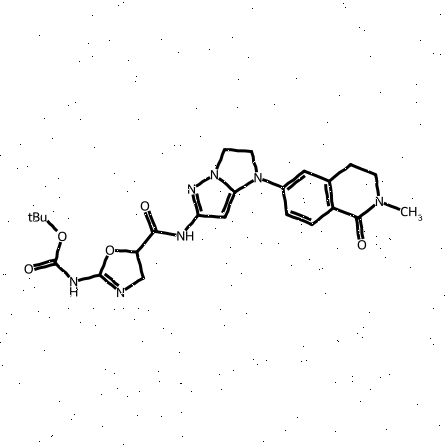 CN1CCc2cc(N3CCn4nc(NC(=O)C5CN=C(NC(=O)OC(C)(C)C)O5)cc43)ccc2C1=O